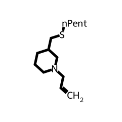 C=CCN1CCCC(CSCCCCC)C1